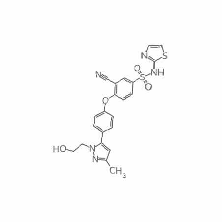 Cc1cc(-c2ccc(Oc3ccc(S(=O)(=O)Nc4nccs4)cc3C#N)cc2)n(CCO)n1